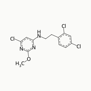 COc1nc(Cl)cc(NCCc2ccc(Cl)cc2Cl)n1